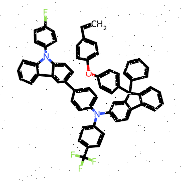 C=Cc1ccc(Oc2ccc(C3(c4ccccc4)c4ccccc4-c4ccc(N(c5ccc(-c6ccc7c(c6)c6ccccc6n7-c6ccc(F)cc6)cc5)c5ccc(C(F)(F)F)cc5)cc43)cc2)cc1